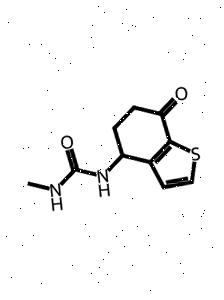 CNC(=O)NC1CCC(=O)c2sccc21